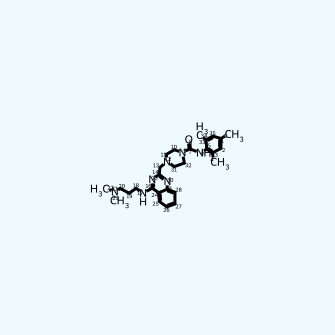 Cc1cc(C)c(NC(=O)N2CCN(Cc3nc(NCCCN(C)C)c4ccccc4n3)CC2)c(C)c1